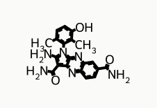 Cc1ccc(O)c(C)c1-n1c(N)c(C(N)=O)c2nc3ccc(C(N)=O)cc3nc21